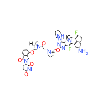 C#Cc1c(F)ccc2cc(N)cc(-c3ncc4c(N5CC6CCC(C5)N6)nc(OC[C@@H]5CCCN5CCC(=O)N(C)CCOc5cccc6c5CN(C5CCC(=O)NC5=O)C6=O)nc4c3F)c12